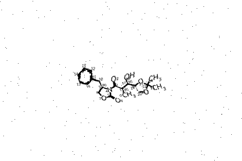 C[C@@H](C(=O)N1C(=O)OC[C@H]1Cc1ccccc1)[C@@H](O)[C@H]1COC(C)(C)O1